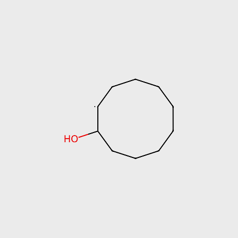 OC1[CH]CCCCCCCC1